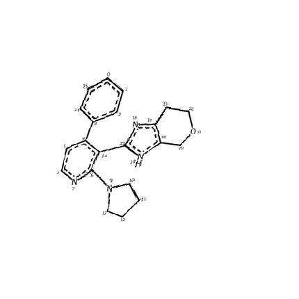 c1ccc(-c2ccnc(N3CCCC3)c2-c2nc3c([nH]2)COCC3)cc1